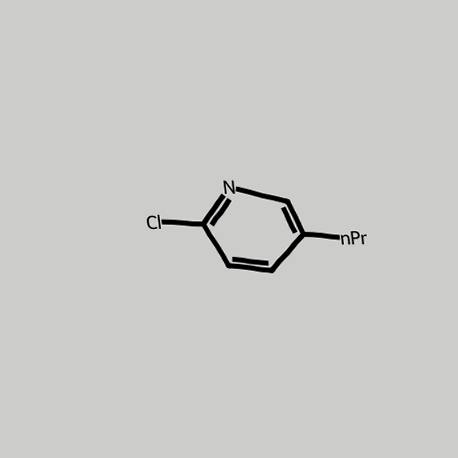 [CH2]CCc1ccc(Cl)nc1